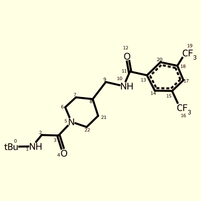 CC(C)(C)NCC(=O)N1CCC(CNC(=O)c2cc(C(F)(F)F)cc(C(F)(F)F)c2)CC1